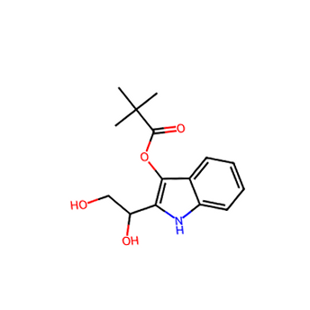 CC(C)(C)C(=O)Oc1c(C(O)CO)[nH]c2ccccc12